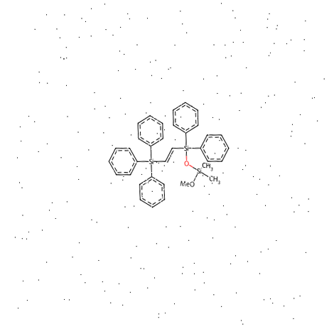 CO[Si](C)(C)O[Si](C=C[Si](c1ccccc1)(c1ccccc1)c1ccccc1)(c1ccccc1)c1ccccc1